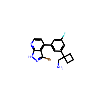 NCC1(c2cc(F)cc(-c3ccnc4[nH]nc(Br)c34)c2)CCC1